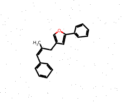 C/C([CH]c1coc(-c2ccccc2)c1)=C/c1ccccc1